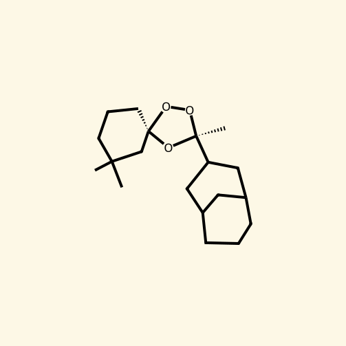 CC1(C)CCC[C@]2(C1)OO[C@@](C)(C1CC3CCCC(C3)C1)O2